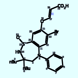 CCCCC1(CCCC)CN(c2ccccc2)c2cc(Br)c(O/C=C/C(=O)O)cc2[S+]([O-])N1